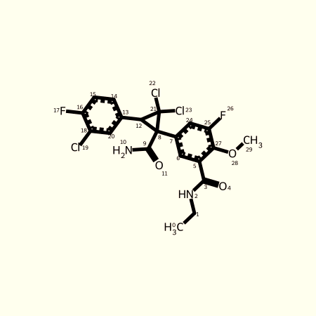 CCNC(=O)c1cc(C2(C(N)=O)C(c3ccc(F)c(Cl)c3)C2(Cl)Cl)cc(F)c1OC